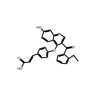 CCc1ccccc1C(=O)c1cnc2cc(O)ccc2c1Oc1ccc(/C=C/C(=O)O)cc1